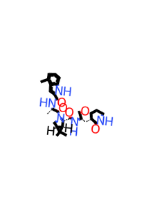 Cc1cccc2[nH]c(C(=O)N[C@@H](C)C(=O)N3C[C@H]4[C@@H]([C@H]3C(=O)N[C@H](C=O)C[C@@H]3CCCNC3=O)C4(C)C)cc12